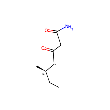 CC[C@@H](C)[CH]C(=O)CC(N)=O